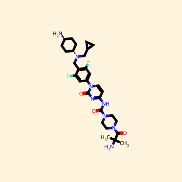 CC(C)(N)C(=O)N1CCN(C(=O)Nc2ccn(-c3cc(F)c(CN(CC4CC4)[C@H]4CC[C@H](N)CC4)c(F)c3)c(=O)n2)CC1